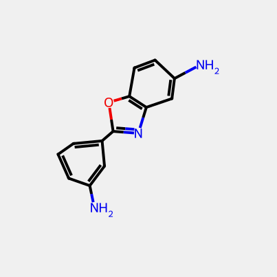 Nc1cccc(-c2nc3cc(N)ccc3o2)c1